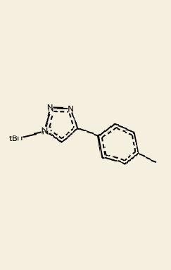 Cc1ccc(-c2cn(C(C)(C)C)nn2)cc1